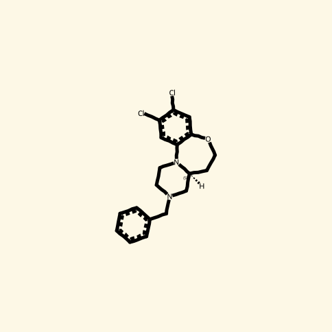 Clc1cc2c(cc1Cl)N1CCN(Cc3ccccc3)C[C@@H]1CCO2